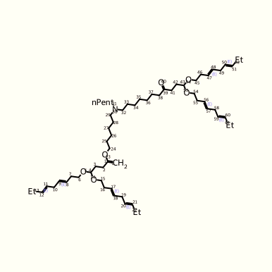 C=C(CCC(OCC/C=C/C/C=C/CC)OCC/C=C/C/C=C/CC)OCCCCCCN(CCCCC)CCCCCCCC(=O)CCC(OCC/C=C/C/C=C/CC)OCC/C=C/C/C=C/CC